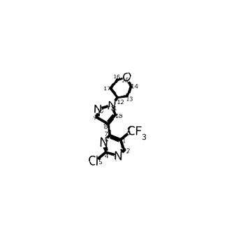 FC(F)(F)c1cnc(Cl)nc1-c1cnn(C2CCOCC2)c1